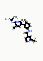 CC(C)=Nc1ncc(-c2cc(NC(=O)c3ccnc(C(F)(F)F)c3)ccc2C)cc1C#N